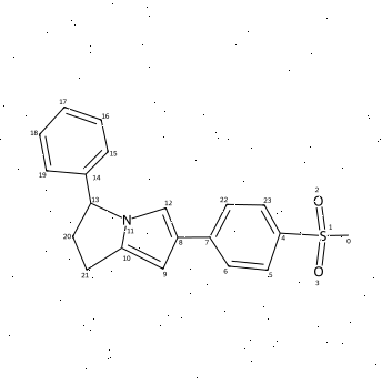 CS(=O)(=O)c1ccc(-c2cc3n(c2)C(c2ccccc2)CC3)cc1